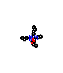 c1ccc2cc3c(cc2c1)c1cc2ccccc2cc1n3-c1cc2c(cc1C1=NC(c3ccc4c(ccc5ccccc54)c3)=NC(c3ccc4c(ccc5ccccc54)c3)N1)Cc1c-2ccc2ccccc12